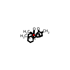 C=C1C=C2C[C@]3(C1=O)C(=O)C(=C)C1[C@@]4(C)CCC[C@@]1(COC4)C23